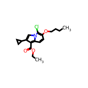 CCCCOc1ccc2c(C(=O)OCC)c(C3CC3)cn2c1Cl